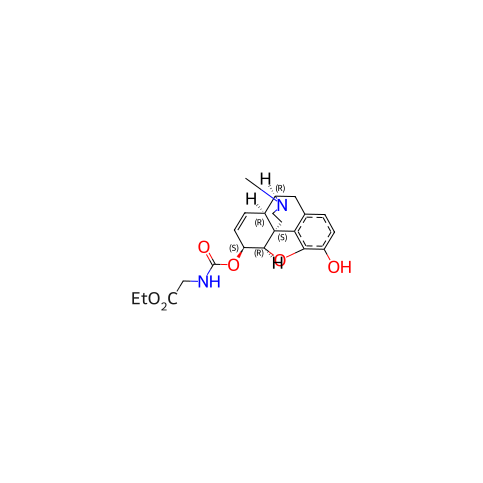 CCOC(=O)CNC(=O)O[C@H]1C=C[C@H]2[C@H]3Cc4ccc(O)c5c4[C@@]2(CCN3C)[C@H]1O5